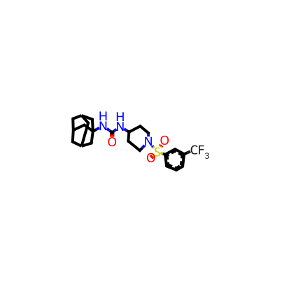 O=C(NC1CCN(S(=O)(=O)c2cccc(C(F)(F)F)c2)CC1)NC12CC3CC(CC(C3)C1)C2